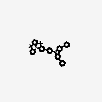 CC1(C)c2ccccc2N2c3ccc(-c4ccc(-n5c6ccc(-c7ccccc7)cc6c6cc(-c7ccccc7)ccc65)cc4)cc3C(C)(C)c3cccc1c32